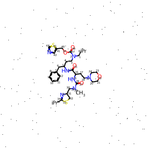 CC(C)CN(CCC(Cc1ccccc1)NC(=O)C(CCN1CCOCC1)NC(=O)N(C)CC1CSC(C(C)C)=N1)C(=O)OCc1cncs1